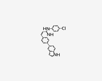 N=C(/C=C\c1ccc(-c2ccc3[nH]ccc3c2)cc1)Nc1ccc(Cl)cc1